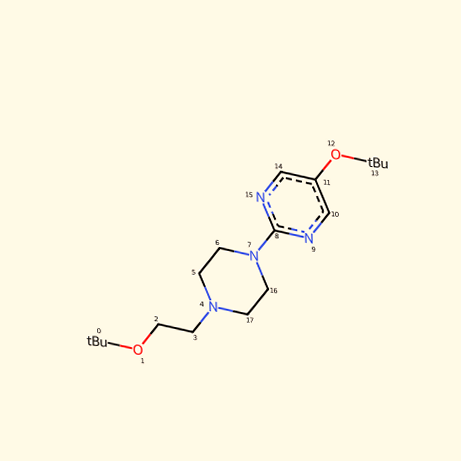 CC(C)(C)OCCN1CCN(c2ncc(OC(C)(C)C)cn2)CC1